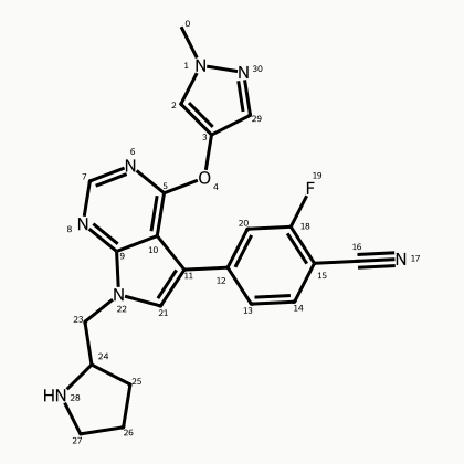 Cn1cc(Oc2ncnc3c2c(-c2ccc(C#N)c(F)c2)cn3CC2CCCN2)cn1